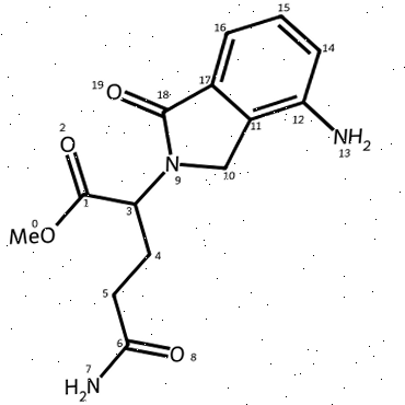 COC(=O)C(CCC(N)=O)N1Cc2c(N)cccc2C1=O